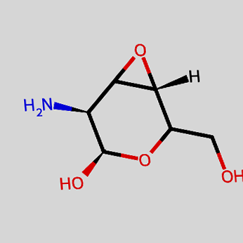 N[C@H]1C2O[C@@H]2C(CO)O[C@H]1O